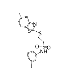 Cc1cccc(NS(=O)(=O)CCSc2nc3cc(C)ccc3s2)c1